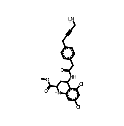 COC(=O)C1CC(NC(=O)Cc2ccc(CC#CCN)cc2)c2c(Cl)cc(Cl)cc2N1